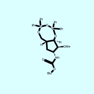 CO[C@@H]1[C@@H]2O[Si](C(C)C)(C(C)C)O[Si](C(C)C)(C(C)C)OC[C@H]2C[C@H]1NC(=O)OC(C)(C)C